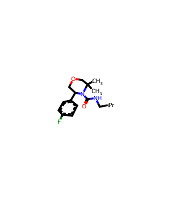 CC(C)CNC(=O)N1C(c2ccc(F)cc2)COCC1(C)C